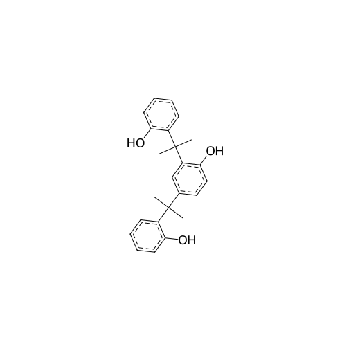 CC(C)(c1ccc(O)c(C(C)(C)c2ccccc2O)c1)c1ccccc1O